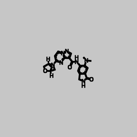 CN(C)c1cc2c(cc1NC(=O)c1cnn3ccc(N4C[C@H]5C[C@@H]4CO5)nc13)CNC2=O